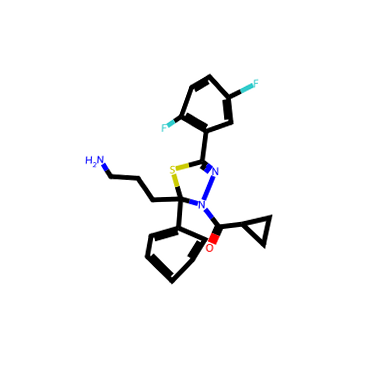 NCCCC1(c2ccccc2)SC(c2cc(F)ccc2F)=NN1C(=O)C1CC1